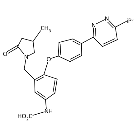 CC1CC(=O)N(Cc2cc(NC(=O)O)ccc2Oc2ccc(-c3ccc(C(C)C)nn3)cc2)C1